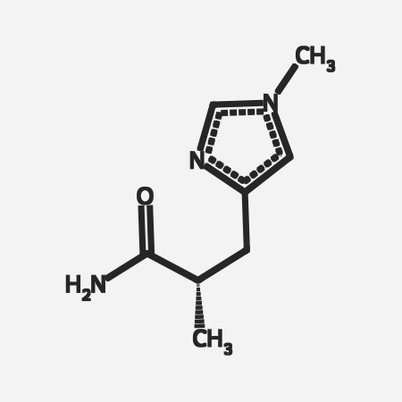 C[C@@H](Cc1cn(C)cn1)C(N)=O